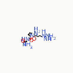 N=C(N)NCCCC(N)C(=O)N1CCC[C@H]1C(=O)NCC(N)=O